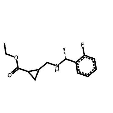 CCOC(=O)C1CC1CN[C@H](C)c1ccccc1F